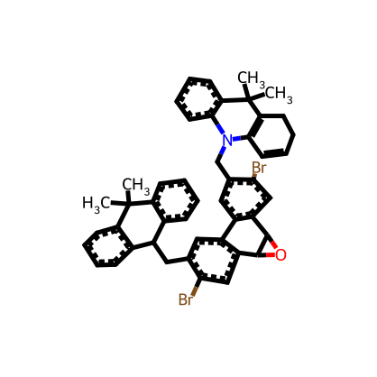 CC1(C)C2=C(C=CCC2)N(Cc2cc3c(cc2Br)C2OC2c2cc(Br)c(CC4c5ccccc5C(C)(C)c5ccccc54)cc2-3)c2ccccc21